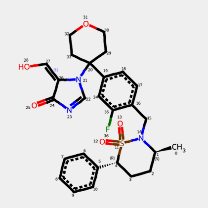 C[C@H]1CC[C@H](c2ccccc2)S(=O)(=O)N1Cc1ccc(C2(N3C=NC(=O)/C3=C\O)CCOCC2)cc1F